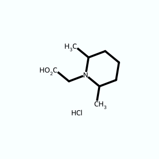 CC1CCCC(C)N1CC(=O)O.Cl